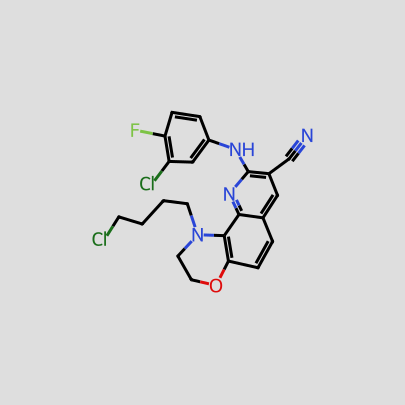 N#Cc1cc2ccc3c(c2nc1Nc1ccc(F)c(Cl)c1)N(CCCCCl)CCO3